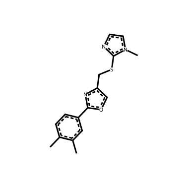 Cc1ccc(-c2nc(CSc3nccn3C)co2)cc1C